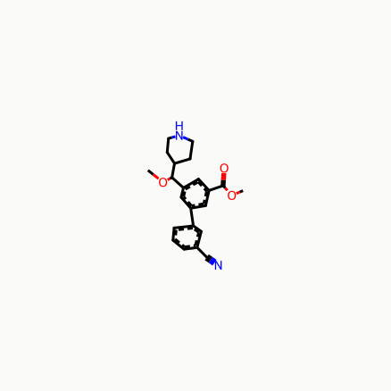 COC(=O)c1cc(-c2cccc(C#N)c2)cc(C(OC)C2CCNCC2)c1